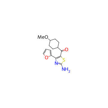 COC1CCC(C(=O)c2sc(N)nc2-c2ccco2)CC1